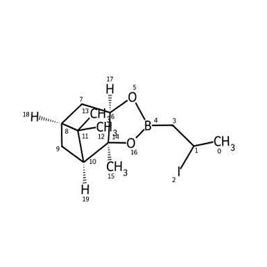 CC(I)CB1O[C@@H]2C[C@@H]3C[C@@H](C3(C)C)[C@]2(C)O1